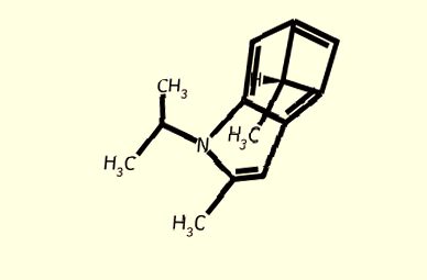 Cc1cc2c3cc(cc2n1C(C)C)[C@H]3C